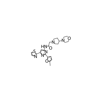 Cc1ccc(-c2nc(NC(=O)CN3CCC(N4CCOCC4)CC3)cc(-c3nccs3)n2)o1